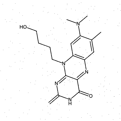 C=c1nc2c(c(=O)[nH]1)=Nc1cc(C)c(N(C)C)cc1N2CCCCO